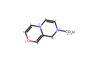 O=C(O)N1C=CN2C=COC=C2C1